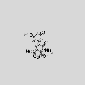 CC1CC(=O)C=C(c2cc(C(=O)O)c([N+](=O)[O-])c(N)c2Cl)C1